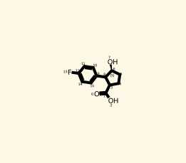 O=C(O)C1CC[C@H](O)C1c1ccc(F)cc1